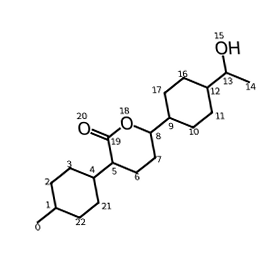 CC1CCC(C2CCC(C3CCC(C(C)O)CC3)OC2=O)CC1